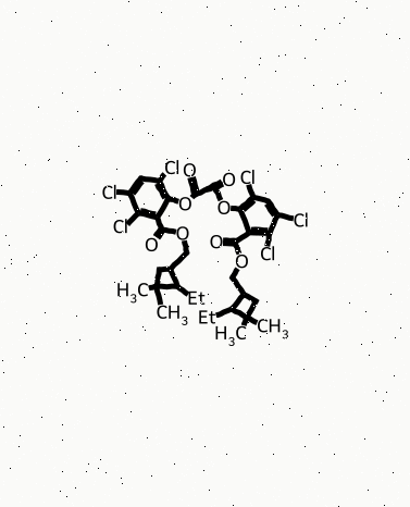 CCC1C(COC(=O)c2c(Cl)c(Cl)cc(Cl)c2OC(=O)C(=O)Oc2c(Cl)cc(Cl)c(Cl)c2C(=O)OCC2CC(C)(C)C2CC)CC1(C)C